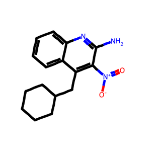 Nc1nc2ccccc2c(CC2CCCCC2)c1[N+](=O)[O-]